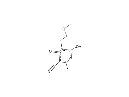 COCCn1c(O)cc(C)c(C#N)c1=O